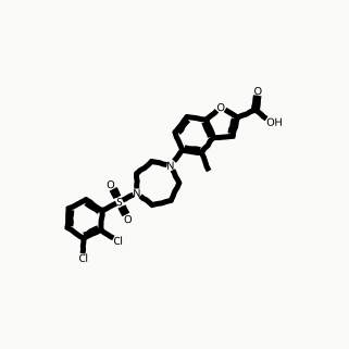 Cc1c(N2CCCN(S(=O)(=O)c3cccc(Cl)c3Cl)CC2)ccc2oc(C(=O)O)cc12